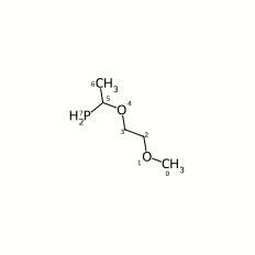 COCCOC(C)P